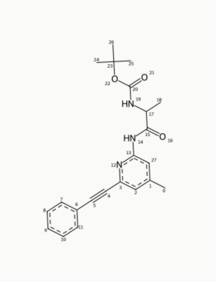 Cc1cc(C#Cc2ccccc2)nc(NC(=O)C(C)NC(=O)OC(C)(C)C)c1